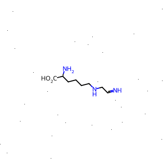 N=CCNCCCCC(N)C(=O)O